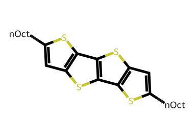 CCCCCCCCc1cc2sc3c4sc(CCCCCCCC)cc4sc3c2s1